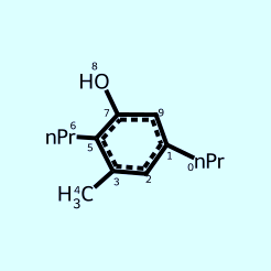 CCCc1cc(C)c(CCC)c(O)c1